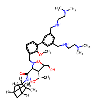 COc1c(CN2O[C@@H](CO)[C@H]([C@H](C)O)[C@H]2C(=O)N[C@H]2C[C@H]3C[C@@H]([C@@H]2C)C3(C)C)cccc1-c1cc(CNCCN(C)C)cc(CNCCN(C)C)c1